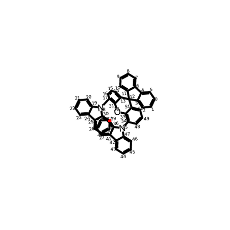 c1ccc2c(c1)-c1ccccc1C21c2cccc(-n3c4ccccc4c4ccccc43)c2Oc2c(-n3c4ccccc4c4ccccc43)cccc21